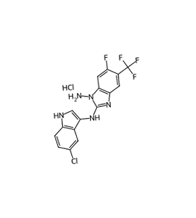 Cl.Nn1c(Nc2c[nH]c3ccc(Cl)cc23)nc2cc(C(F)(F)F)c(F)cc21